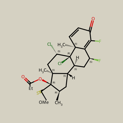 CCC(=O)O[C@]1(C(=S)OC)[C@H](C)C[C@H]2[C@@H]3C[C@H](F)C4=C(F)C(=O)C=C[C@]4(C)[C@@]3(Cl)[C@@H](Cl)C[C@@]21C